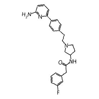 Nc1cccc(-c2ccc(CCN3CCC(NC(=O)Cc4cccc(F)c4)C3)cc2)n1